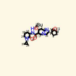 CC[C@H](C)Oc1cc2nc([C@@]34CC[C@@](C)(C3)OC4)cn2cc1C(=O)Nc1cccn(C2CC2)c1=O